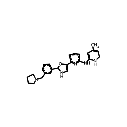 CC1=CCNC(Nc2cccc(C3=CNC(c4cccc(CN5CCCC5)c4)O3)n2)=C1